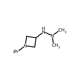 CC(C)N1CC(NN(C)C)C1